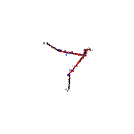 CCCCCCCCCCCCCCCCc1cn(CCOCCC(=O)NCCOCCNC(=O)CCOCCOCCOCCOCCN(CCOCCOCCOCCOCCC(=O)NCCOCCNC(=O)CCOCCn2cc(CCCCCCCCCCCCCCCC)nn2)C(=O)c2ccc(-c3nnc(SC(C)C)o3)cc2)nn1